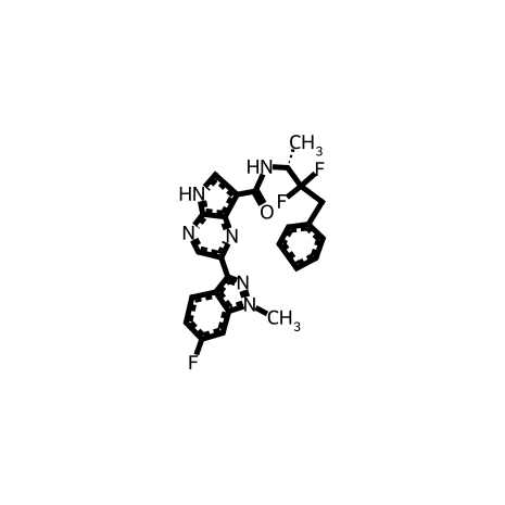 C[C@@H](NC(=O)c1c[nH]c2ncc(-c3nn(C)c4cc(F)ccc34)nc12)C(F)(F)Cc1ccccc1